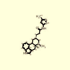 Cc1cc(NC(=O)CC[C@@H]2CC3c4cccc5[nH]cc(c45)C[C@H]3N(C)C2)sn1